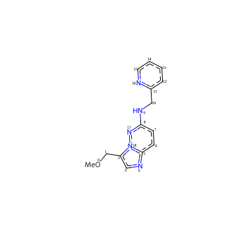 COCc1cnc2ccc(NCc3ccccn3)nn12